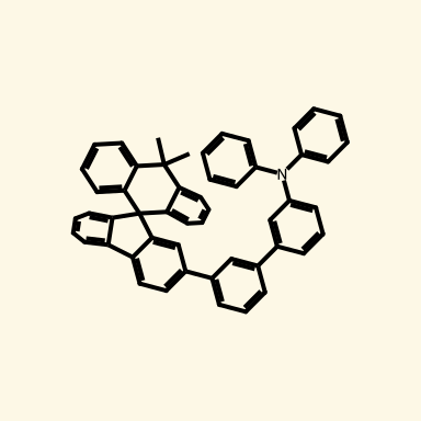 CC1(C)c2ccccc2C2(c3ccccc3-c3ccc(-c4cccc(-c5cccc(N(c6ccccc6)c6ccccc6)c5)c4)cc32)c2ccccc21